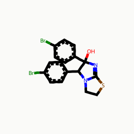 OC1(c2ccc(Br)cc2)N=C2SCCN2C1c1ccc(Br)cc1